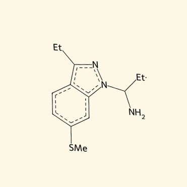 C[CH]C(N)n1nc(CC)c2ccc(SC)cc21